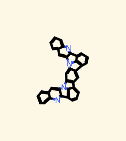 c1ccc2nc3c4cccc5c6cc7c8cccc9c%10nc%11ccccc%11cc%10n(c7cc6n(c3cc2c1)c54)c89